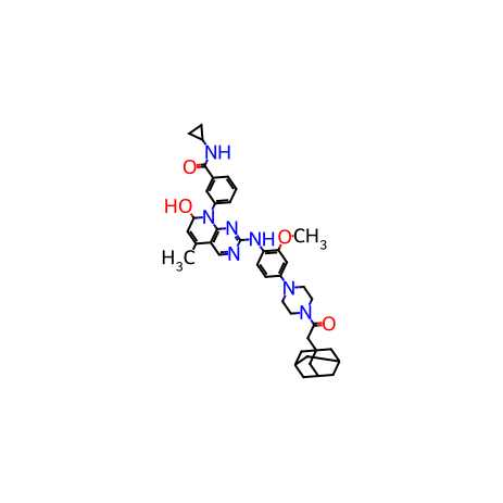 COc1cc(N2CCN(C(=O)CC34CC5CC(CC(C5)C3)C4)CC2)ccc1Nc1ncc2c(n1)N(c1cccc(C(=O)NC3CC3)c1)C(O)C=C2C